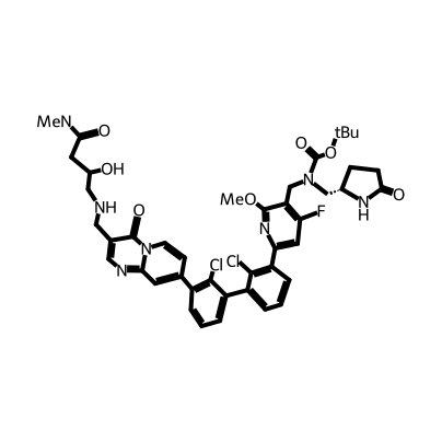 CNC(=O)CC(O)CNCc1cnc2cc(-c3cccc(-c4cccc(-c5cc(F)c(CN(C[C@@H]6CCC(=O)N6)C(=O)OC(C)(C)C)c(OC)n5)c4Cl)c3Cl)ccn2c1=O